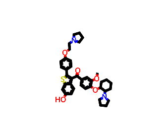 COc1cc(C(=O)c2c(-c3ccc(OCCN4CCCC4)cc3)sc3cc(O)ccc23)ccc1OC1CCCCC1N1CCCC1